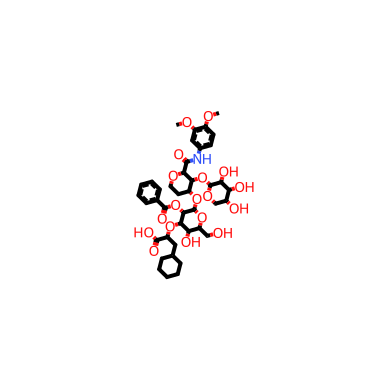 COc1ccc(NC(=O)C2OCCC(OC3OC(CO)C(O)C(OC(CC4CCCCC4)C(=O)O)C3OC(=O)c3ccccc3)C2OC2OCC(O)C(O)C2O)cc1OC